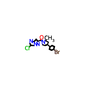 CC1CC(c2ccc(Br)cc2)=CCN1C(=O)c1cc2ncc(Cl)cn2n1